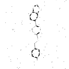 Fc1ccc(CNC2=NN=C(c3ccc4nc[nH]c4c3)CS2)cc1